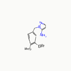 COc1ccc(Cn2nccc2N)cc1OC